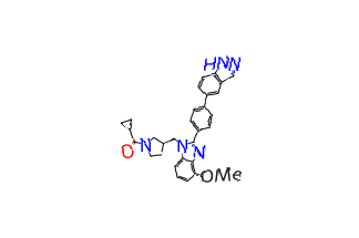 COc1cccc2c1nc(-c1ccc(-c3ccc4[nH]ncc4c3)cc1)n2C[C@H]1CCN(C(=O)C2CC2)C1